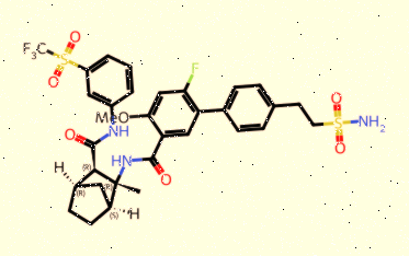 COc1cc(F)c(-c2ccc(CCS(N)(=O)=O)cc2)cc1C(=O)N[C@]1(C)[C@H]2CC[C@H](C2)[C@H]1C(=O)Nc1cccc(S(=O)(=O)C(F)(F)F)c1